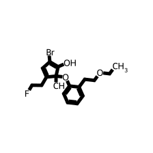 CCOCCc1ccccc1OC1(C)C(CCF)=CC(Br)=C1O